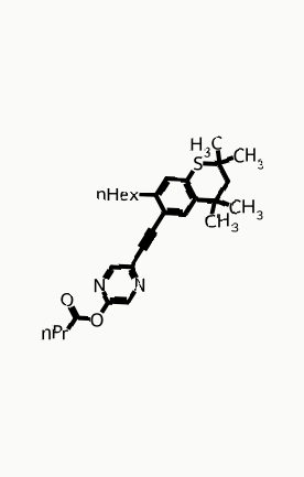 CCCCCCc1cc2c(cc1C#Cc1cnc(OC(=O)CCC)cn1)C(C)(C)CC(C)(C)S2